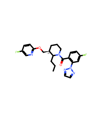 CCCC1[C@@H](COc2ccc(F)cn2)CCCN1C(=O)c1ccc(F)cc1-n1nccn1